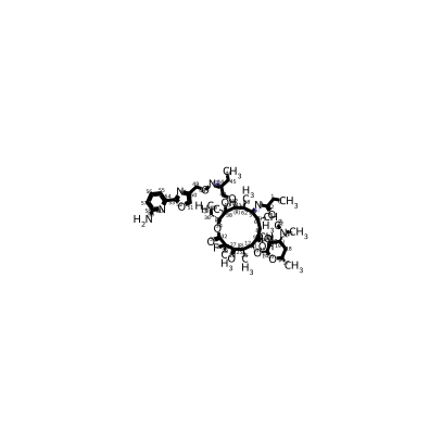 CCC(=O)/N=C1\[C@H](C)C[C@@](C)(O)[C@H](O[C@@H]2O[C@H](C)C[C@H](N(C)C)[C@H]2O)[C@@H](C)C(=O)[C@](C)(F)C(=O)O[C@H](CC)[C@@](C)(O)[C@H](OC/C(CC)=N\OCc2coc(-c3cccc(N)n3)n2)[C@H]1C